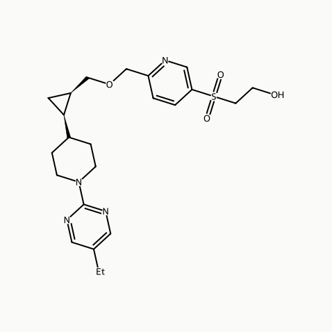 CCc1cnc(N2CCC([C@H]3C[C@H]3COCc3ccc(S(=O)(=O)CCO)cn3)CC2)nc1